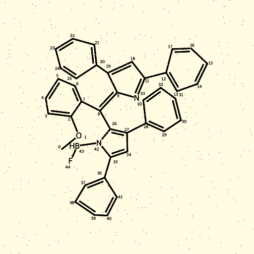 COc1ccccc1/C(=C1/N=C(c2ccccc2)C=C1c1ccccc1)c1c(-c2ccccc2)cc(-c2ccccc2)n1BF